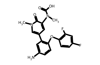 CN(C(=O)O)c1cc(-c2cc(N)ccc2Oc2ccc(F)cc2F)cn(C)c1=O